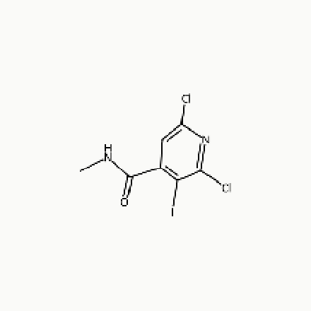 CNC(=O)c1cc(Cl)nc(Cl)c1I